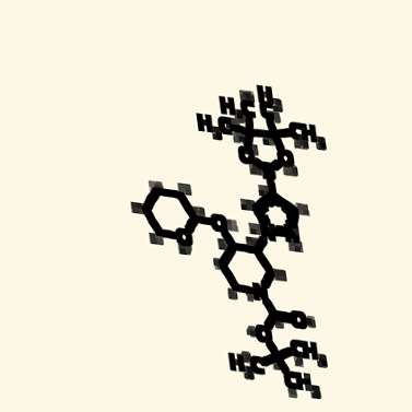 CC(C)(C)OC(=O)N1CCC(OC2CCCCO2)C(n2cc(B3OC(C)(C)C(C)(C)O3)cn2)C1